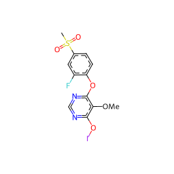 COc1c(OI)ncnc1Oc1ccc(S(C)(=O)=O)cc1F